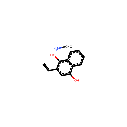 C=Cc1cc(O)c2ccccc2c1O.NC=O